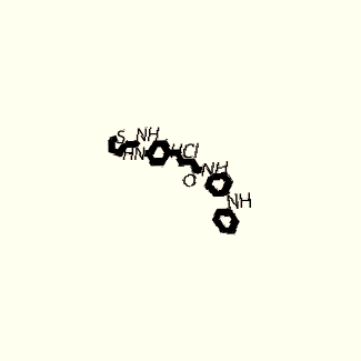 Cl.N=C(Nc1ccc(CCCC(=O)Nc2ccc(Nc3ccccc3)cc2)cc1)c1cccs1